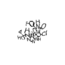 CC1(c2cccc(F)c2)NC(=O)c2c(Cl)cc(Nc3cc(NC(O)C4CC4)ncn3)c(=O)n21